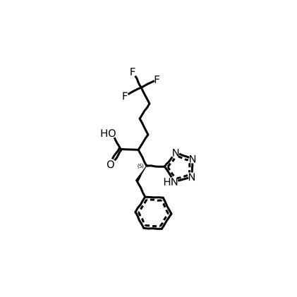 O=C(O)C(CCCC(F)(F)F)[C@H](Cc1ccccc1)c1nnn[nH]1